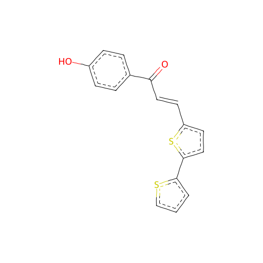 O=C(C=Cc1ccc(-c2cccs2)s1)c1ccc(O)cc1